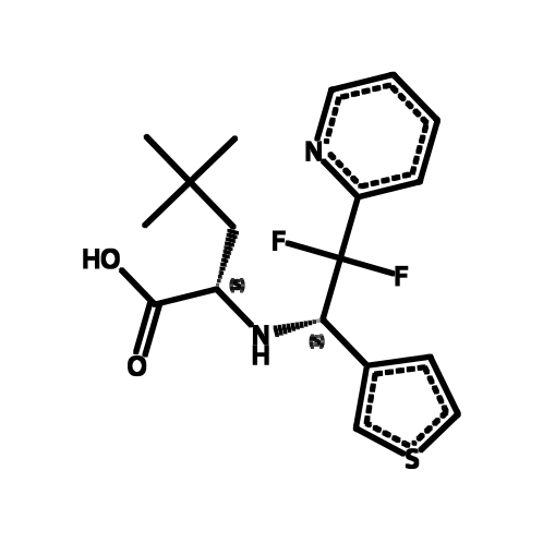 CC(C)(C)C[C@H](N[C@@H](c1ccsc1)C(F)(F)c1ccccn1)C(=O)O